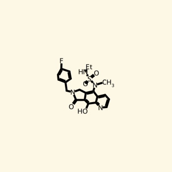 CCNS(=O)(=O)N(C)c1c2c(c(O)c3ncccc13)C(=O)N(Cc1ccc(F)cc1)C2